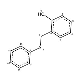 Oc1ccccc1CSc1ccccc1